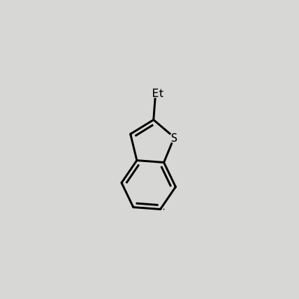 CCc1cc2cc[c]cc2s1